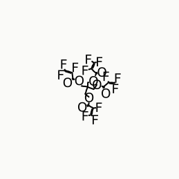 O=C(OCC(COC(=O)C(F)=C(F)F)(COC(=O)C(F)=C(F)F)COC(=O)C(F)=C(F)F)C(F)=C(F)F